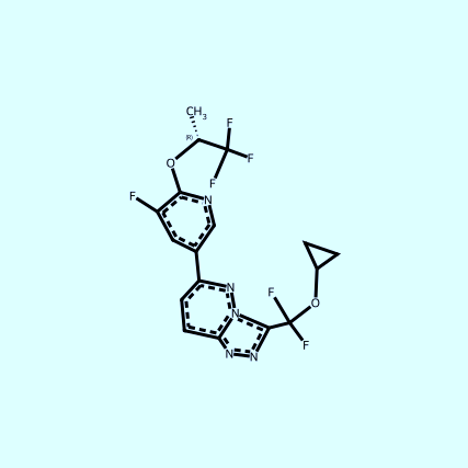 C[C@@H](Oc1ncc(-c2ccc3nnc(C(F)(F)OC4CC4)n3n2)cc1F)C(F)(F)F